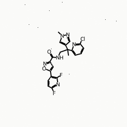 Cn1cc(C(C)(CNC(=O)c2cc(-c3ccc(F)nc3F)on2)c2cccc(Cl)n2)cn1